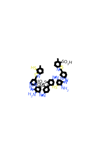 Cc1ccc2nc(-c3ccc(/N=N\c4c(N)c(/N=N\c5ccc(-c6ccc(/N=N\c7cc(S)c(N)c(/N=N\c8ccc(-c9nc%10ccc(C)c(S(=O)(=O)O)c%10s9)cc8)c7N)cc6S(=O)(=O)O)c(S(=O)(=O)O)c5)cc(S(=O)(=O)O)c4N)cc3)sc2c1S